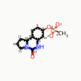 CS(=O)(=O)Oc1ccc2c(c1)[nH]c(=O)n1cccc21